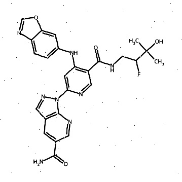 CC(C)(O)C(F)CNC(=O)c1cnc(-n2ncc3cc(C(N)=O)cnc32)cc1Nc1ccc2ncoc2c1